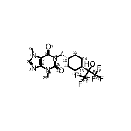 Cn1cnc2c1c(=O)n(C[C@H]1CC[C@H](C(O)(C(F)(F)F)C(F)(F)F)CC1)c(=O)n2C